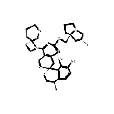 C[C@H]1CC[C@]2(Cc3nc(OC[C@@]45CCCN4C[C@H](F)C5)nc(N4CC[C@@]45CCCOC5)c3CO2)c2c1ccc(N)c2C#N